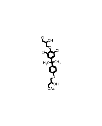 CC(=O)OCC(O)COc1ccc(C(C)(C)c2cc(Cl)c(OCC(O)CCl)c(Cl)c2)cc1